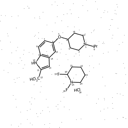 CC(C)N1CCC(Oc2ccc3[nH]c(C(=O)O)cc3c2)CC1.Cl.FC1CCCCN1F